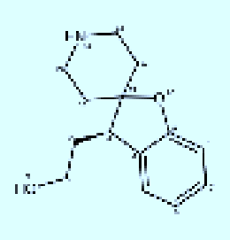 OCC[C@@H]1c2ccccc2OC12CCNCC2